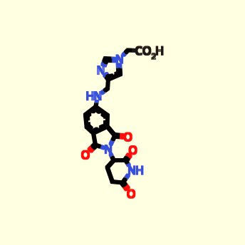 O=C(O)Cn1cnc(CNc2ccc3c(c2)C(=O)N(C2CCC(=O)NC2=O)C3=O)c1